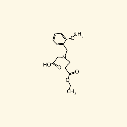 CCOC(=O)CCN(CC(=O)O)Cc1ccccc1OC